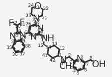 CN(Cc1cccc(CO)n1)[C@H]1CC[C@H](CNc2nc(N3CCOCC3)cc(-n3c(C(F)F)nc4ccccc43)n2)CC1